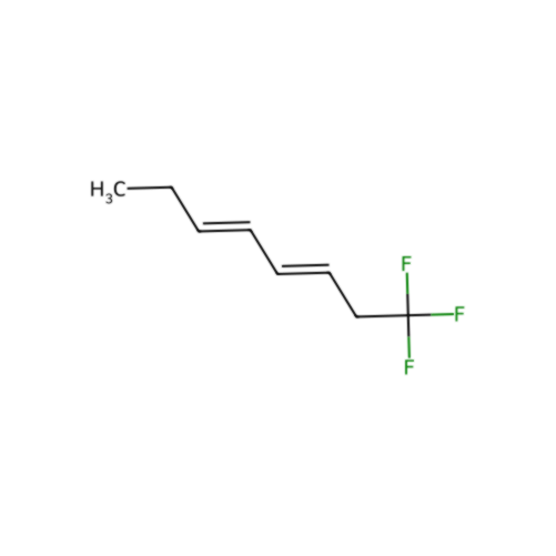 CCC=CC=CCC(F)(F)F